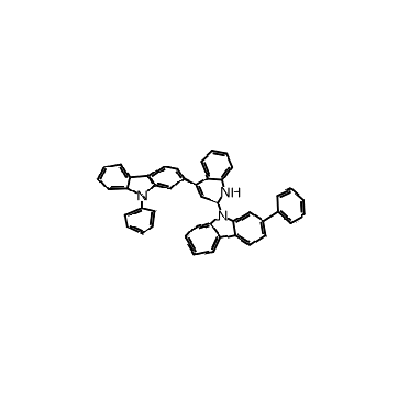 C1=C(c2ccc3c4ccccc4n(-c4ccccc4)c3c2)c2ccccc2NC1n1c2ccccc2c2ccc(-c3ccccc3)cc21